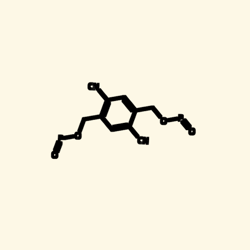 [C-]#[N+]c1cc(COP=O)c(C#N)cc1COP=O